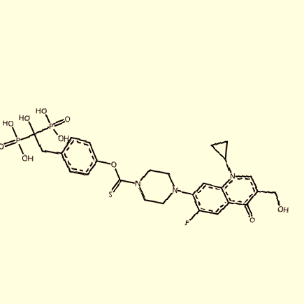 O=c1c(CO)cn(C2CC2)c2cc(N3CCN(C(=S)Oc4ccc(CC(O)(P(=O)(O)O)P(=O)(O)O)cc4)CC3)c(F)cc12